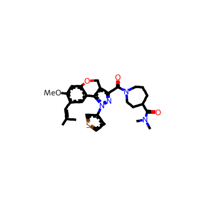 COc1cc2c(cc1C=C(C)C)-c1c(c(C(=O)N3CCCC(C(=O)N(C)C)CC3)nn1-c1ccsc1)CO2